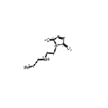 CC(C)(C)CCNCCN1C(=O)C=CC1=O